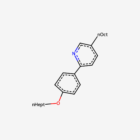 CCCCCCCCc1ccc(-c2ccc(OCCCCCCC)cc2)nc1